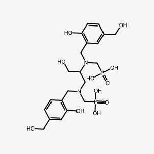 O=P(O)(O)CN(Cc1ccc(CO)cc1O)CC(CO)N(Cc1cc(CO)ccc1O)CP(=O)(O)O